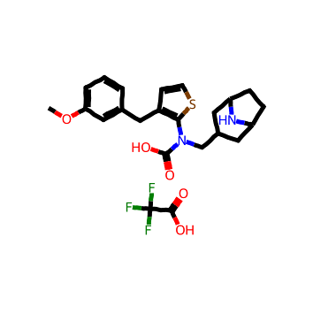 COc1cccc(Cc2ccsc2N(CC2CC3CCC(C2)N3)C(=O)O)c1.O=C(O)C(F)(F)F